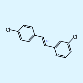 Clc1ccc(/C=C/c2[c]ccc(Cl)c2)cc1